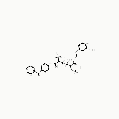 CC(C)(C)CC(C(=O)NCCc1ccc(O)c(O)c1)C(C)(C)C(C)(C)C(C(=O)Oc1ccc(C(=O)c2ccccc2)cc1)C(C)(C)C